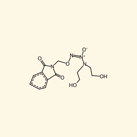 O=C1c2ccccc2C(=O)N1CO/N=[N+](/[O-])N(CCO)CCO